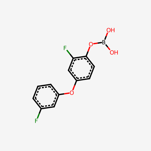 OB(O)Oc1ccc(Oc2cccc(F)c2)cc1F